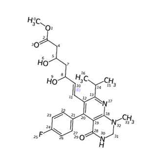 COC(=O)CC(O)CC(O)/C=C/c1c(C(C)C)nc2c(c1-c1ccc(F)cc1)C(=O)NCN2C